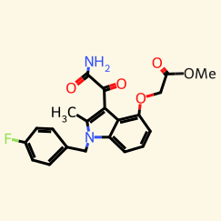 COC(=O)COc1cccc2c1c(C(=O)C(N)=O)c(C)n2Cc1ccc(F)cc1